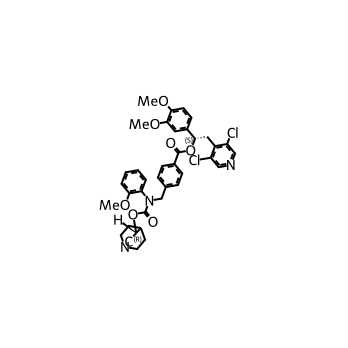 COc1ccc([C@H](Cc2c(Cl)cncc2Cl)OC(=O)c2ccc(CN(C(=O)O[C@H]3CN4CCC3CC4)c3ccccc3OC)cc2)cc1OC